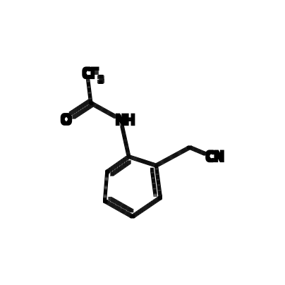 N#CCc1ccccc1NC(=O)C(F)(F)F